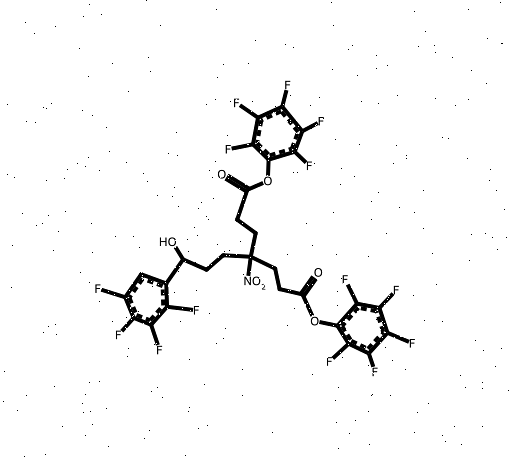 O=C(CCC(CCC(=O)Oc1c(F)c(F)c(F)c(F)c1F)(CCC(O)c1cc(F)c(F)c(F)c1F)[N+](=O)[O-])Oc1c(F)c(F)c(F)c(F)c1F